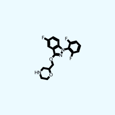 Fc1ccc2c(c1)c(OCC1CNCCO1)nn2-c1c(F)cccc1F